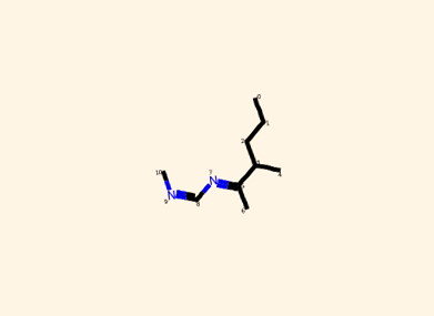 CCCC(C)/C(C)=N/C=N\C